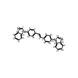 C(=Cc1ccc(-n2cnc3ccccc32)cc1)c1ccc(-n2cnc3ccccc32)cc1